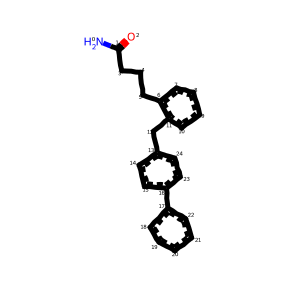 NC(=O)CCCc1ccccc1Cc1ccc(-c2ccccc2)cc1